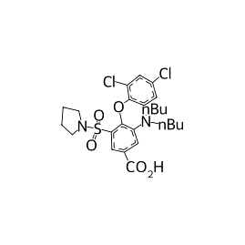 CCCCN(CCCC)c1cc(C(=O)O)cc(S(=O)(=O)N2CCCC2)c1Oc1ccc(Cl)cc1Cl